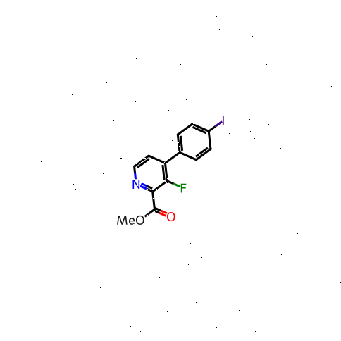 COC(=O)c1nccc(-c2ccc(I)cc2)c1F